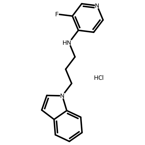 Cl.Fc1cnccc1NCCCn1ccc2ccccc21